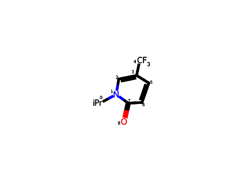 CC(C)n1cc(C(F)(F)F)ccc1=O